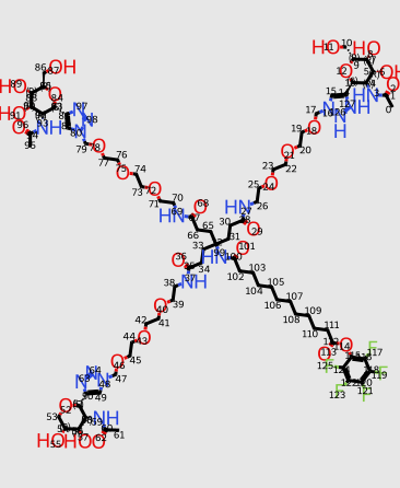 CC(=O)N[C@@H]1[C@@H](O)[C@@H](O)[C@@H](CO)O[C@@H]1C1=CN(COCCOCCOCCNC(=O)CCC(CCC(=O)NCCOCCOCCOCn2cc([C@H]3OC[C@H](O)[C@H](O)[C@H]3NC(C)=O)nn2)(CCC(=O)NCCOCCOCCOCn2cc([C@H]3O[C@H](CO)[C@H](O)[C@H](O)[C@H]3NC(C)=O)nn2)NC(=O)CCCCCCCCCCC(=O)Oc2c(F)c(F)c(F)c(F)c2F)NN1